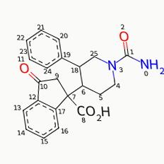 NC(=O)N1CCC(C2(C(=O)O)CC(=O)c3ccccc32)C(c2ccccc2)C1